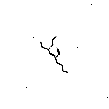 CCCCC(C=O)=CC(CC)CCC